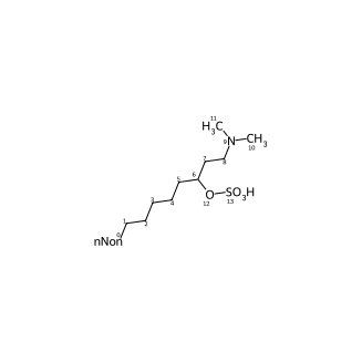 CCCCCCCCCCCCCCC(CCN(C)C)OS(=O)(=O)O